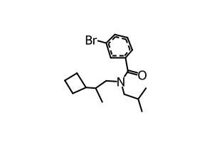 CC(C)CN(CC(C)C1CCC1)C(=O)c1cccc(Br)c1